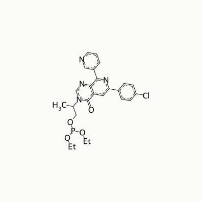 CCOP(OCC)OCC(C)n1cnc2c(-c3cccnc3)nc(-c3ccc(Cl)cc3)cc2c1=O